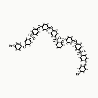 O=S(=O)(c1ccc(Oc2ccc(Br)cc2)cc1)c1ccc(Oc2ccc(Oc3ccc(S(=O)(=O)c4ccccc4Oc4ccc(Oc5ccc(S(=O)(=O)c6ccc(Oc7ccc(Br)cc7)cc6)cc5)cc4)cc3)cc2)cc1